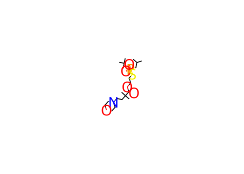 CC(C)CP(=O)(OC(C)(C)C)SCCOC(=O)C(C)(C)CCN1CCOCC1